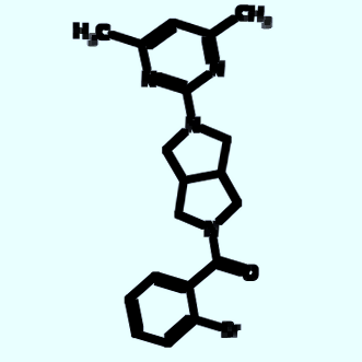 Cc1cc(C)nc(N2CC3CN(C(=O)c4ccccc4Br)CC3C2)n1